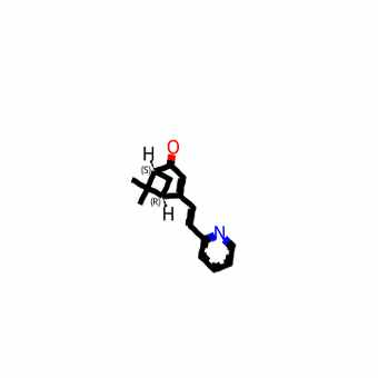 CC1(C)[C@@H]2C[C@H]1C(C=Cc1ccccn1)=CC2=O